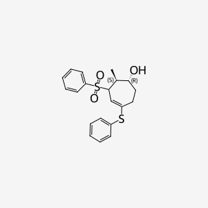 C[C@@H]1C(S(=O)(=O)c2ccccc2)C=C(Sc2ccccc2)CC[C@H]1O